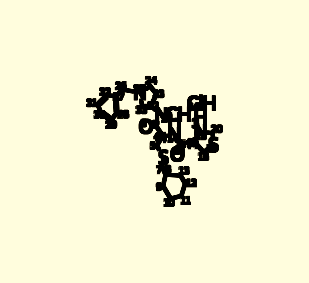 CN(C(=O)[C@H](CSCC1CCCCC1)NC(=O)[C@@H]1CSCN1)C1CCN(Cc2ccccc2)C1.Cl